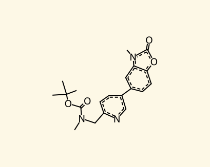 CN(Cc1ccc(-c2ccc3oc(=O)n(C)c3c2)cn1)C(=O)OC(C)(C)C